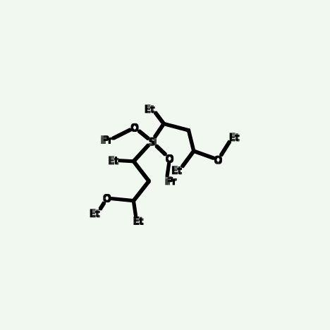 CCOC(CC)CC(CC)[Si](OC(C)C)(OC(C)C)C(CC)CC(CC)OCC